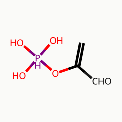 C=C(C=O)O[PH](O)(O)O